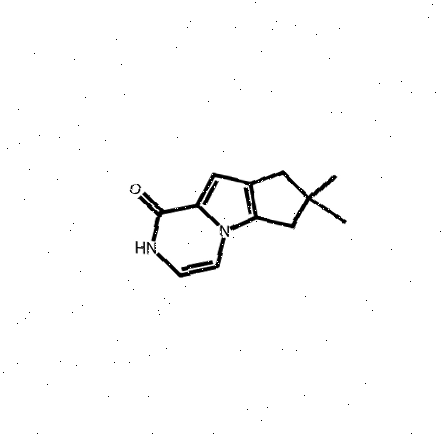 CC1(C)Cc2cc3c(=O)[nH]ccn3c2C1